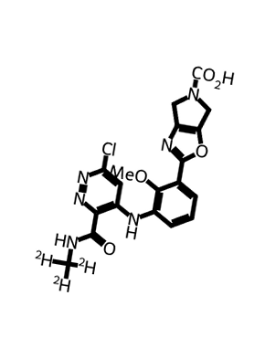 [2H]C([2H])([2H])NC(=O)c1nnc(Cl)cc1Nc1cccc(-c2nc3c(o2)CN(C(=O)O)C3)c1OC